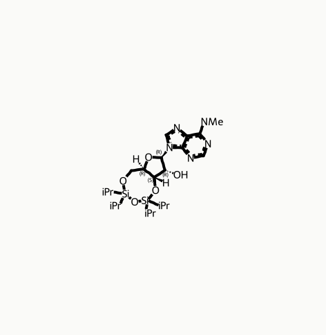 CNc1ncnc2c1ncn2[C@@H]1O[C@@H]2CO[Si](C(C)C)(C(C)C)O[Si](C(C)C)(C(C)C)O[C@H]2[C@H]1O